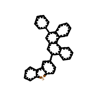 c1ccc(-c2cc3cc(-c4ccc5sc6ccccc6c5c4)c4ccccc4c3c3ccccc23)cc1